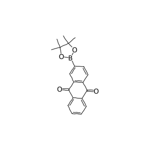 CC1(C)OB(c2ccc3c(c2)C(=O)c2ccccc2C3=O)OC1(C)C